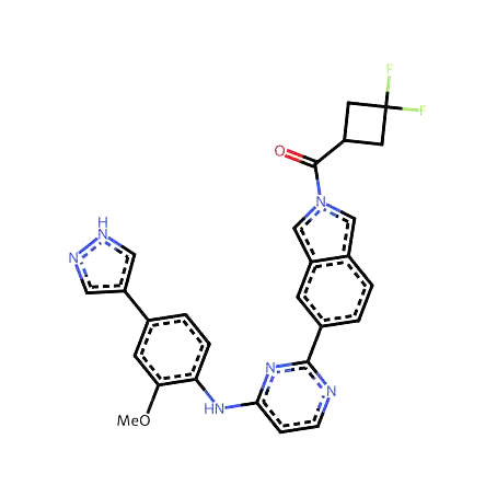 COc1cc(-c2cn[nH]c2)ccc1Nc1ccnc(-c2ccc3cn(C(=O)C4CC(F)(F)C4)cc3c2)n1